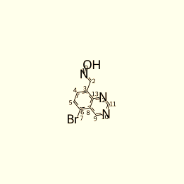 O/N=C/c1ccc(Br)c2cncnc12